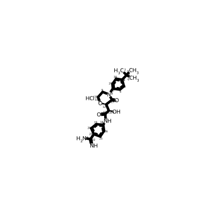 CC(C)(C)c1ccc(N2CCO[C@H]([C@@H](O)C(=O)Nc3ccc(C(=N)N)cc3)C2=O)cc1.Cl